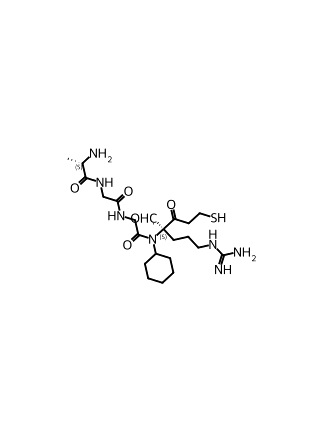 C[C@H](N)C(=O)NCC(=O)NCC(=O)N(C1CCCCC1)[C@]([C]=O)(CCCNC(=N)N)C(=O)CCS